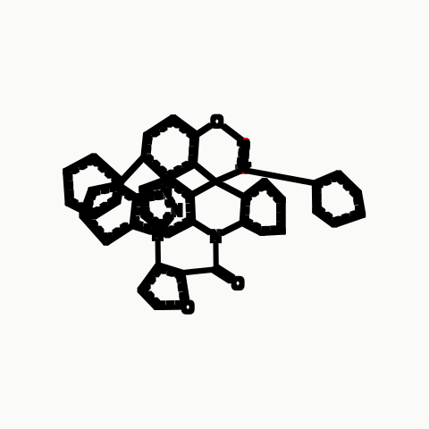 O=C(c1occc1-n1nnc2ccccc21)N1c2ccccc2C2(c3cc(-c4ccccc4)ccc3Oc3ccc(-c4ccccc4)cc32)c2ccccc21